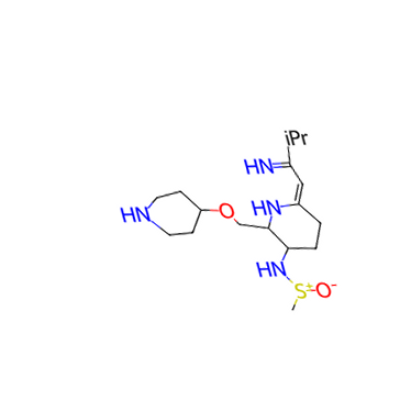 CC(C)C(=N)/C=C1/CCC(N[S+](C)[O-])C(COC2CCNCC2)N1